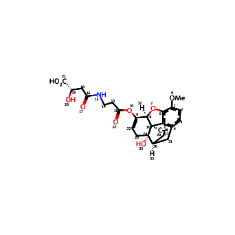 COc1ccc2c3c1O[C@@H]1C(OC(=O)CCNC(=O)C[C@H](O)C(=O)O)=CC[C@]4(O)[C@@H](CCC[C@@]314)C2